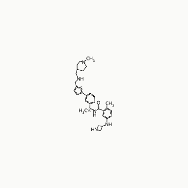 Cc1ccc(NC2CNC2)cc1C(=O)N[C@H](C)c1cccc(-c2ccc(CNCC3CCN(C)CC3)s2)c1